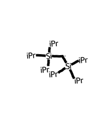 CC(C)[Si]([CH][Si](C(C)C)(C(C)C)C(C)C)(C(C)C)C(C)C